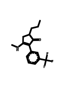 CCCC1CC(NC)=C(c2cccc(C(F)(F)F)c2)C1=O